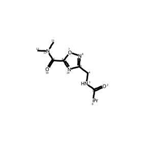 CC(C)C(=O)NCc1noc(C(=O)N(C)C)n1